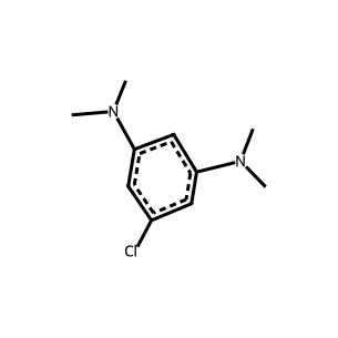 CN(C)c1cc(Cl)cc(N(C)C)c1